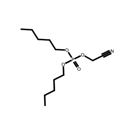 CCCCCOP(=O)(OCC#N)OCCCCC